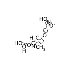 Cc1nc(OC[C@H](O)CO)ccc1-c1cccc(COc2ccc(-c3cc(O)n[s+]3[O-])cc2)c1C